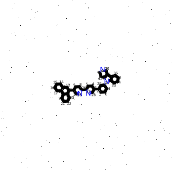 c1cc(-c2ccc(-c3ccc(-c4cc5ccccc5c5ccccc45)cn3)nc2)cc(-n2c3ccccc3c3cnccc32)c1